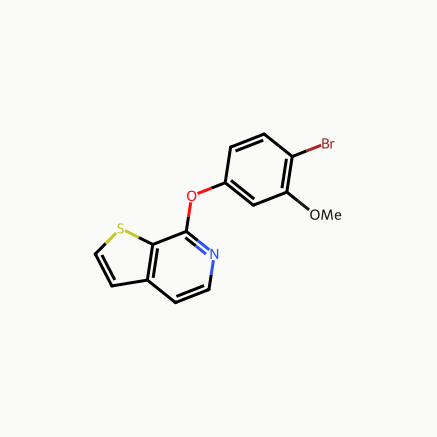 COc1cc(Oc2nccc3ccsc23)ccc1Br